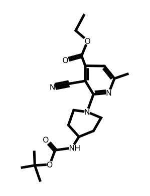 CCOC(=O)c1cc(C)nc(N2CCC(NC(=O)OC(C)(C)C)CC2)c1C#N